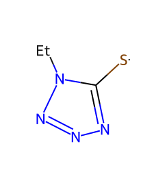 CCn1nnnc1[S]